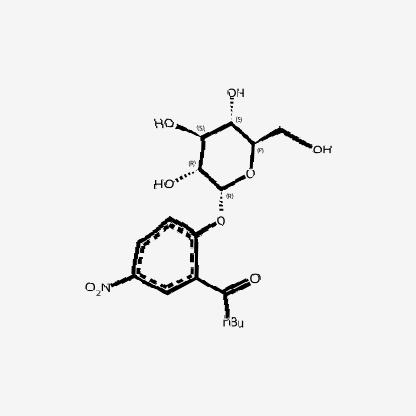 CCCCC(=O)c1cc([N+](=O)[O-])ccc1O[C@H]1O[C@H](CO)[C@@H](O)[C@H](O)[C@H]1O